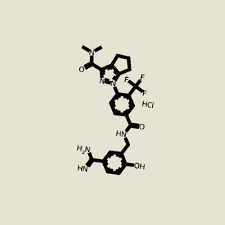 CN(C)C(=O)c1nn(-c2ccc(C(=O)NCc3cc(C(=N)N)ccc3O)cc2C(F)(F)F)c2c1CCC2.Cl